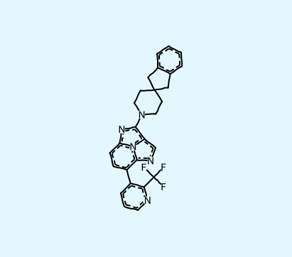 FC(F)(F)c1ncccc1-c1ccc2nc(N3CCC4(CC3)Cc3ccccc3C4)c3cnc1n23